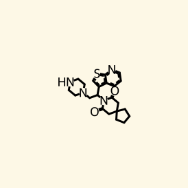 O=C1CC2(CCCC2)CC(=O)N1C(CN1CCNCC1)c1csc2ncccc12